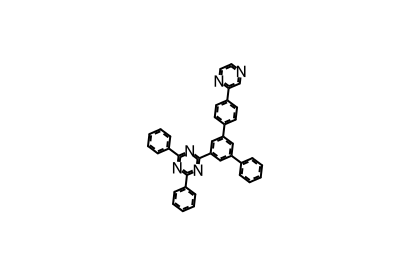 c1ccc(-c2cc(-c3ccc(-c4cnccn4)cc3)cc(-c3nc(-c4ccccc4)nc(-c4ccccc4)n3)c2)cc1